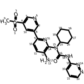 CS(=O)(=O)c1cncc(-c2ccc(N)c(N(C(=O)Nc3cccnn3)C3CCCCC3)n2)c1